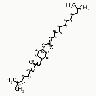 CC(C)CCCCCCCCCOC(=O)OC1CCC(OC(=O)OCCCCC(C)C)CC1